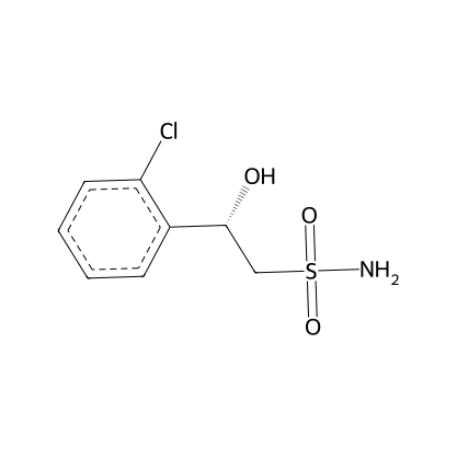 NS(=O)(=O)C[C@@H](O)c1ccccc1Cl